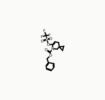 O=C(OCc1ccccc1)N1CC2(CC=C1OS(=O)(=O)C(F)(F)F)CC2